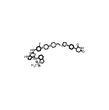 CS(=O)(=O)N1CCc2cccc(Nc3nc(Nc4ccc(N5CCC(N6CCN(CC[C@@H]7CCN(c8ccc(C9CCC(=O)NC9=O)cc8)C7)CC6)CC5)c(F)c4)nc4[nH]ccc34)c21